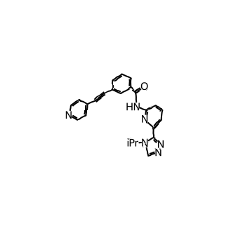 CC(C)n1cnnc1-c1cccc(NC(=O)c2cccc(C#Cc3ccncc3)c2)n1